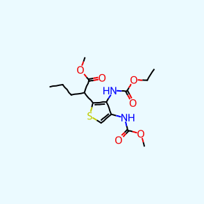 CCCC(C(=O)OC)c1scc(NC(=O)OC)c1NC(=O)OCC